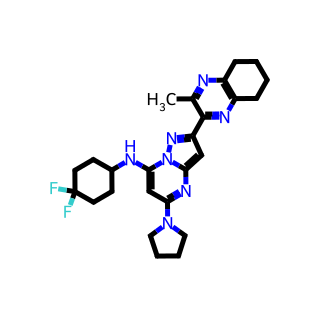 Cc1nc2c(nc1-c1cc3nc(N4CCCC4)cc(NC4CCC(F)(F)CC4)n3n1)CCCC2